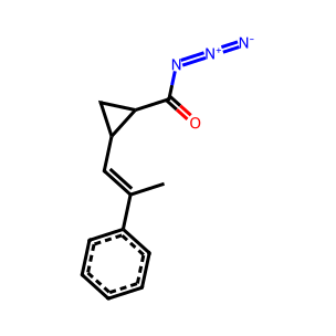 CC(=CC1CC1C(=O)N=[N+]=[N-])c1ccccc1